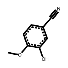 COc1ccc(C#N)cc1O